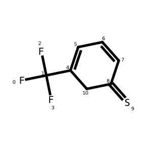 FC(F)(F)C1=CC=[C]C(=S)C1